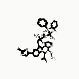 COC(C)c1ncccc1-c1c(CC(C)(C)CO[Si](c2ccccc2)(c2ccccc2)C(C)(C)C)c2cc(-c3coc(I)n3)ccc2n1C(F)C(F)F